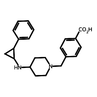 O=C(O)c1ccc(CN2CCC(NC3CC3c3ccccc3)CC2)cc1